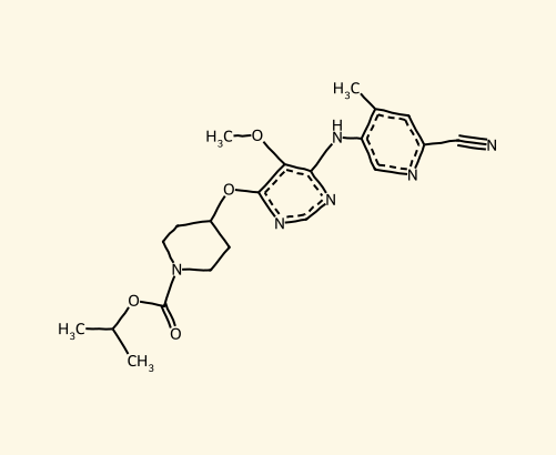 COc1c(Nc2cnc(C#N)cc2C)ncnc1OC1CCN(C(=O)OC(C)C)CC1